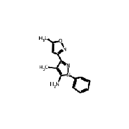 Cc1cc(-c2nn(-c3ccccc3)c(N)c2C)no1